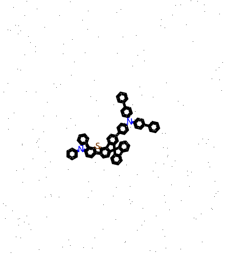 c1ccc(-c2ccc(N(c3ccc(-c4ccccc4)cc3)c3ccc(-c4ccc5c(c4)C4(c6ccccc6-c6ccccc64)c4ccc6c(sc7c6ccc6c7c7ccccc7n6-c6ccccc6)c4-5)cc3)cc2)cc1